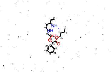 C=CC(N)/C=C\NCC(=O)O[C@@H](C(=O)OCCCC)c1ccccc1